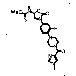 COC(=S)N(C)C1CN(c2ccc(N3CCN(C(=O)c4c[nH]cn4)CC3)c(F)c2)C(=O)O1